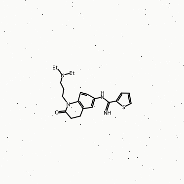 CCN(CC)CCCN1C(=O)CCc2cc(NC(=N)c3cccs3)ccc21